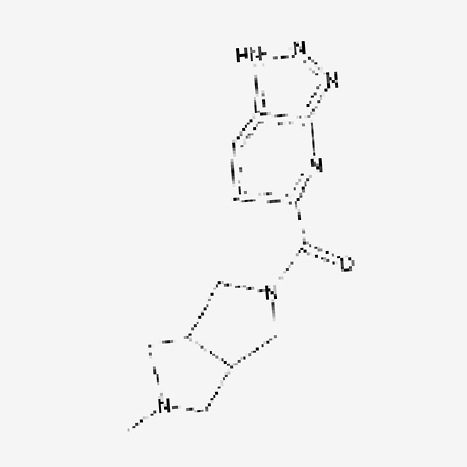 CN1CC2CN(C(=O)c3ccc4[nH]nnc4n3)CC2C1